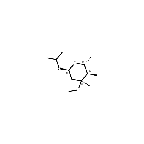 CO[C@@]1(C)C[C@@H](OC(C)C)O[C@H](C)[C@H]1C